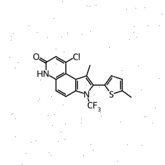 Cc1ccc(-c2c(C)c3c4c(Cl)cc(=O)[nH]c4ccc3n2C(F)(F)F)s1